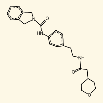 O=C(CC1CCOCC1)NCCc1ccc(NC(=O)N2Cc3ccccc3C2)cc1